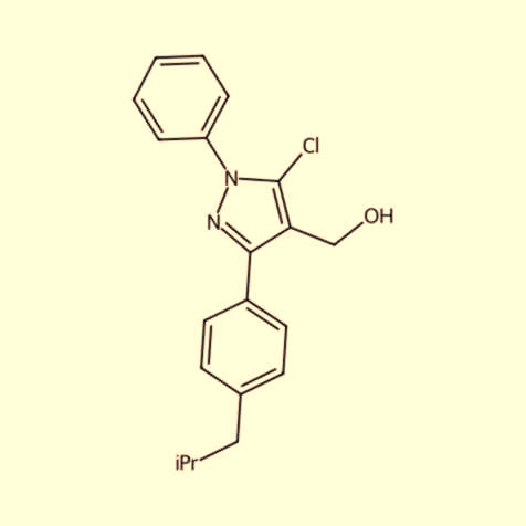 CC(C)Cc1ccc(-c2nn(-c3ccccc3)c(Cl)c2CO)cc1